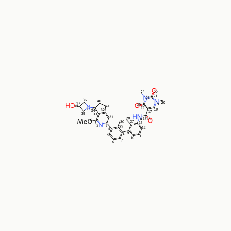 COc1nc(-c2cccc(-c3cccc(NC(=O)c4cn(C)c(=O)n(C)c4=O)c3C)c2C)cc2c1[C@@H](N1CC(O)C1)CC2